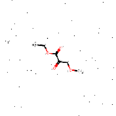 [CH2]OCC(=O)C(=O)OCC